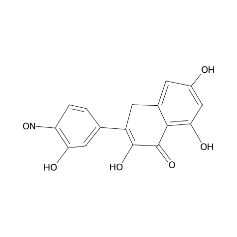 O=Nc1ccc(C2=C(O)C(=O)c3c(O)cc(O)cc3C2)cc1O